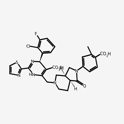 CCOC(=O)C1=C(CN2CC[C@@H]3C(=O)N(c4ccc(C(=O)O)c(C)c4)C[C@@H]3C2)NC(c2nccs2)=N[C@H]1c1cccc(F)c1Cl